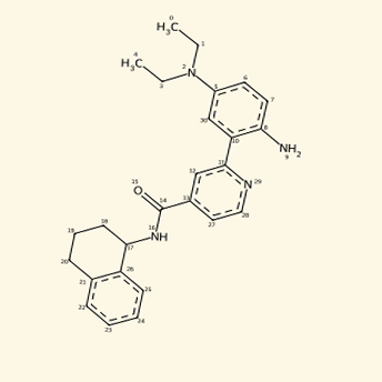 CCN(CC)c1ccc(N)c(-c2cc(C(=O)NC3CCCc4ccccc43)ccn2)c1